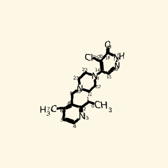 CCc1nccc(C)c1CN1CCN(c2cn[nH]c(=O)c2Cl)CC1